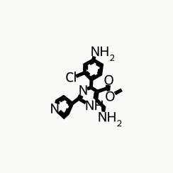 COC(=O)C1=C(CN)NC(c2ccncc2)=NC1c1ccc(N)cc1Cl